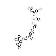 CC1(C)c2cc(-c3ccc4sc5cc(-c6ccc(-c7ccc(N(c8ccc(-c9ccccc9)cc8)c8ccc9c(c8)oc8ccccc89)cc7)c7c6C6c8ccccc8C7c7ccccc76)ccc5c4c3)ccc2-c2ccc(N(c3ccccc3)c3ccc4c(c3)C(C)(C)c3cc(-c5ccc(-c6cccc7c6sc6ccccc67)c6c5C5c7ccccc7C57c5ccccc5C67)ccc3-4)cc21